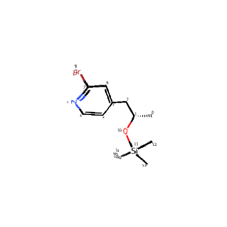 C[C@@H](Cc1ccnc(Br)c1)O[Si](C)(C)C(C)(C)C